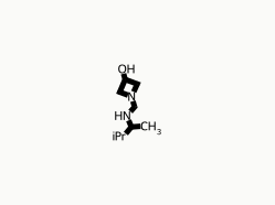 CC(C)C(C)NCN1CC(O)C1